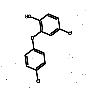 Oc1ccc(Cl)cc1Oc1ccc(Cl)cc1